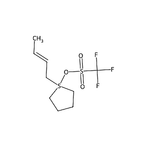 CC=CCS1(OS(=O)(=O)C(F)(F)F)CCCC1